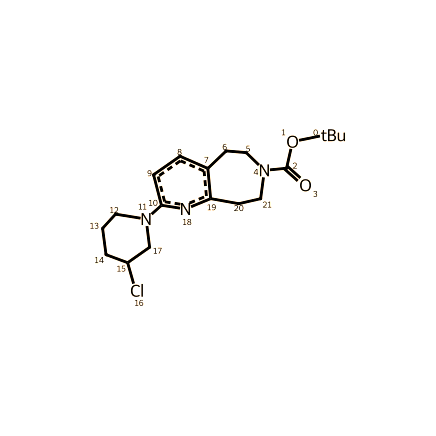 CC(C)(C)OC(=O)N1CCc2ccc(N3CCCC(Cl)C3)nc2CC1